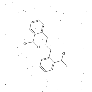 ClC(Cl)c1ccccc1CSCc1ccccc1C(Cl)Cl